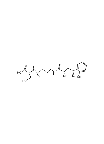 N[C@H](Cc1c[nH]c2ccccc12)C(=O)NCCCC(=O)N[C@@H](CS)C(=O)O